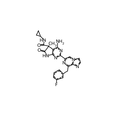 CC1(C(=O)NC2CC2)C(=O)Nc2nc(-c3cn4ccnc4c(Cc4cccc(F)c4)n3)nc(N)c21